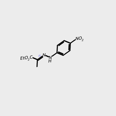 CCOC(=O)/C(C)=N/Nc1ccc([N+](=O)[O-])cc1